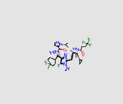 C=Nn1c(/C=C(\C)[C@H](NC(=O)CCC(F)(F)F)C2CC2)nc([C@@H](NC(=O)c2ccnn2C(C)C)C2CCC(F)(F)CC2)c1F